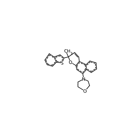 CC1(c2cc3ccccc3s2)C=Cc2c(cc(N3CCOCC3)c3ccccc23)O1